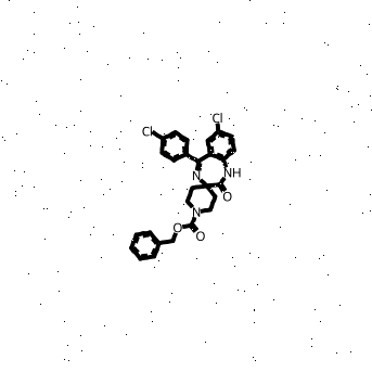 O=C(OCc1ccccc1)N1CCC2(CC1)N=C(c1ccc(Cl)cc1)c1cc(Cl)ccc1NC2=O